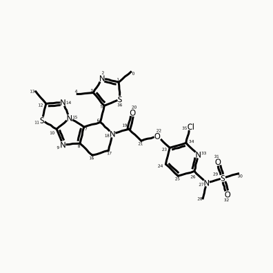 Cc1nc(C)c(C2c3c(nc4sc(C)nn34)CCN2C(=O)COc2ccc(N(C)S(C)(=O)=O)nc2Cl)s1